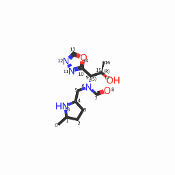 CC1CCC(CN(C=O)[C@H](c2nnco2)[C@@H](C)O)N1